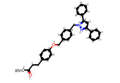 COC(=O)CCc1ccc(OCc2ccc(Cn3nc(-c4ccccc4)cc3-c3ccccc3)cc2)cc1